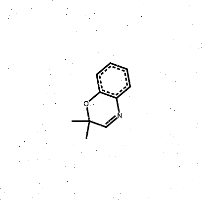 CC1(C)C=Nc2ccccc2O1